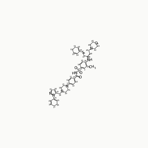 Cc1cc(S(=O)(=O)NC(=O)c2ccc(N3CCN(Cc4ccnn4C4=CCCC=C4)CC3)cc2)ccc1N[C@H](CCN1CCOCC1)CSC1=CCCC=C1